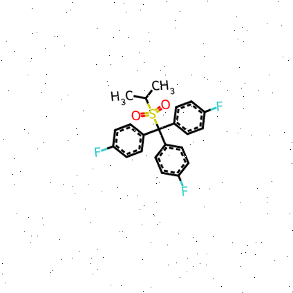 CC(C)S(=O)(=O)C(c1ccc(F)cc1)(c1ccc(F)cc1)c1ccc(F)cc1